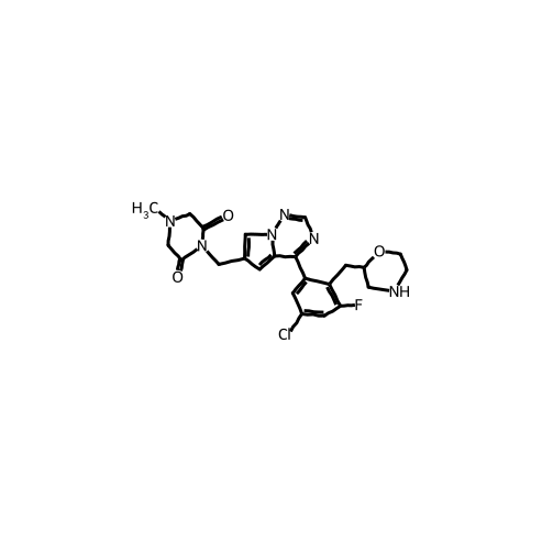 CN1CC(=O)N(Cc2cc3c(-c4cc(Cl)cc(F)c4CC4CNCCO4)ncnn3c2)C(=O)C1